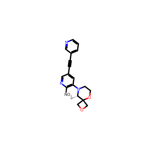 C[C@@H]1N(c2cc(C#Cc3cccnc3)cnc2[N+](=O)[O-])CCOC12COC2